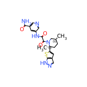 C[C@H]1CC[C@@](C)(c2cc3cn[nH]c3s2)N(C(=O)C(=O)Nc2cncc(C(N)=O)c2)C1